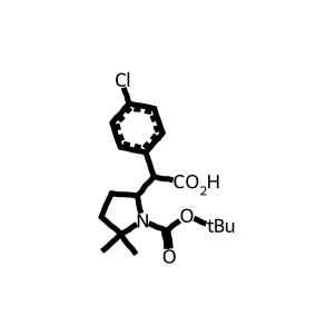 CC(C)(C)OC(=O)N1C(C(C(=O)O)c2ccc(Cl)cc2)CCC1(C)C